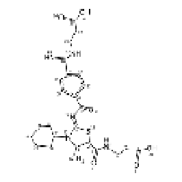 CC1C(C(=O)NCCC(=O)O)SC(=NC(=O)c2ccc(C(=N)NCCC(=O)O)cc2)N1C1CCCCC1